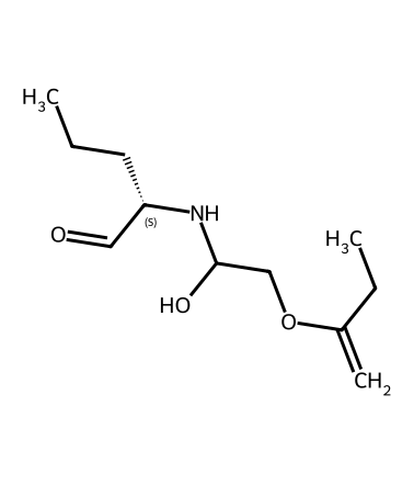 C=C(CC)OCC(O)N[C@H](C=O)CCC